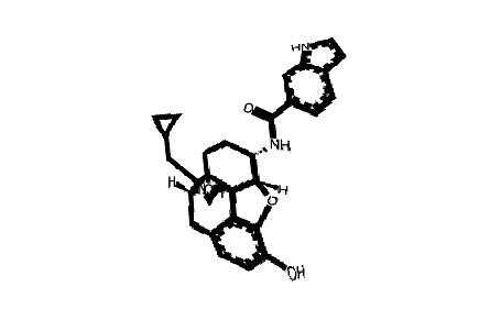 O=C(N[C@H]1CC[C@@]2(O)[C@H]3Cc4ccc(O)c5c4[C@@]2(CCN3CC2CC2)[C@H]1O5)c1ccc2cc[nH]c2c1